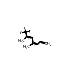 C=C/C=C(C)\C=C(/C)C(F)(F)F